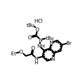 CCOCC(=O)Nc1cnc2cc(Br)cnc2c1NN(C(=O)OC(C)(C)C)C(C)(C)C.Cl